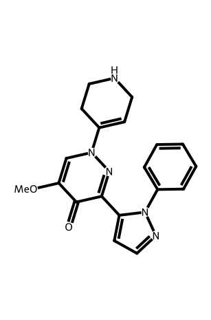 COc1cn(C2=CCNCC2)nc(-c2ccnn2-c2ccccc2)c1=O